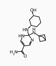 NC(=O)C1=CNC(N[C@@H]2CCC[C@H](O)C2)(NC23CC(C2)C3)N=C1